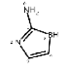 NC1=NC=CB1